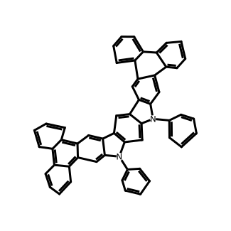 c1ccc(-n2c3cc4c5ccccc5c5ccccc5c4cc3c3cc4c5cc6c7ccccc7c7ccccc7c6cc5n(-c5ccccc5)c4cc32)cc1